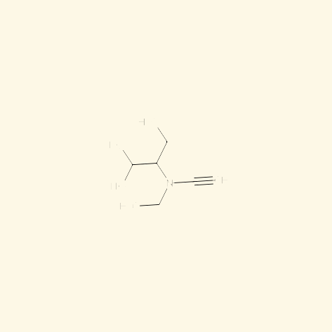 C#CN(CC)C(CC)C(C)O